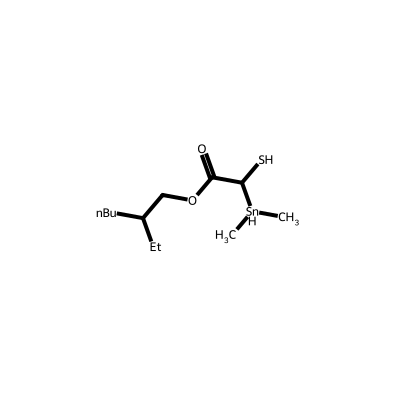 CCCCC(CC)COC(=O)[CH](S)[SnH]([CH3])[CH3]